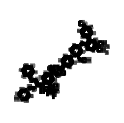 CC1(C)CCC(CN2CCN(c3ccc(C(=O)NS(=O)(=O)c4ccc(N[C@H](CCN5CCNCC5)CSc5ccccc5)c(S(=O)(=O)C(F)(F)F)c4)cc3)[C@H](CO)C2)=C(c2ccc(Cl)cc2)C1